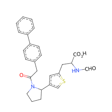 O=CNC(Cc1cc(C2CCCN2C(=O)Cc2ccc(-c3ccccc3)cc2)cs1)C(=O)O